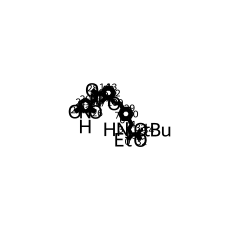 CCC(C(=N)Cc1ccc(COc2cccc3c2CN(C2CCC(=O)NC2=O)C3=O)cc1)C(=O)OC(C)(C)C